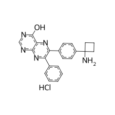 Cl.NC1(c2ccc(-c3nc4c(O)ncnc4nc3-c3ccccc3)cc2)CCC1